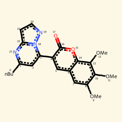 CCCCc1cc(-c2cc3cc(OC)c(OC)c(OC)c3oc2=O)n2nccc2n1